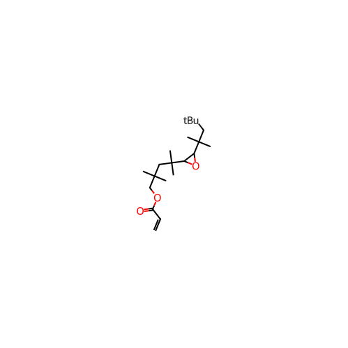 C=CC(=O)OCC(C)(C)CC(C)(C)C1OC1C(C)(C)CC(C)(C)C